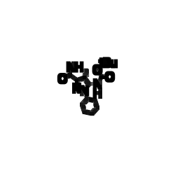 CC(C)(C)OC(=O)Nc1cc(C(N)=O)nn1-c1ccccc1